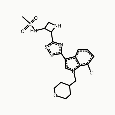 CS(=O)(=O)NC1CNC1c1nc(-c2cn(CC3CCOCC3)c3c(Cl)cccc23)ns1